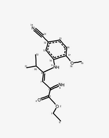 CCOC(=O)C(=N)/C=C(\Nc1cc(C#N)ccc1OC)C(C)C